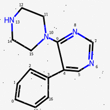 c1ccc(-c2cncnc2N2CCNCC2)cc1